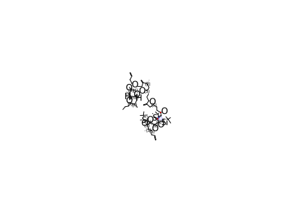 C=CCC(=O)O[C@@H]1[C@@H](C)[C@@H]2O[C@H](CCC)[C@H](C)C[C@@H]2O[C@H]1CC1O[C@@H](CCC2O[C@@H](CCC(=O)/C=C/[C@H](O[Si](C)(C)C(C)(C)C)[C@@H]3O[C@@H](CC=C)[C@H](C)[C@H](O[Si](C)(C)C(C)(C)C)[C@@H]3O[Si](C)(C)C(C)(C)C)CC2=C)C[C@@H](C)C1=C